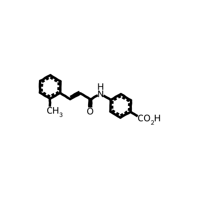 Cc1ccccc1C=CC(=O)Nc1ccc(C(=O)O)cc1